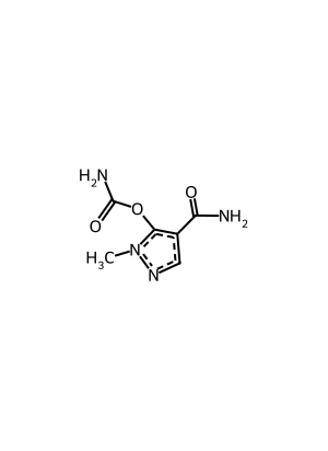 Cn1ncc(C(N)=O)c1OC(N)=O